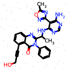 Cc1nc(-c2c(N)ncnc2NC(C)c2nc3cccc(C#CCO)c3c(=O)n2-c2ccccc2)no1